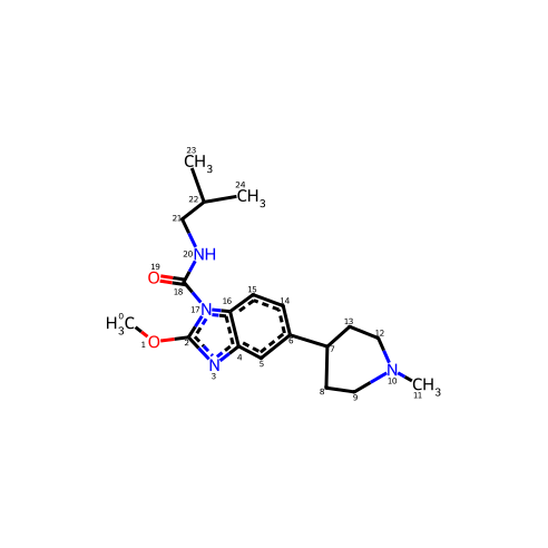 COc1nc2cc(C3CCN(C)CC3)ccc2n1C(=O)NCC(C)C